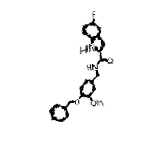 O=C(NCc1ccc(OCc2ccccc2)c(O)c1)c1cc2cc(F)ccc2[nH]1